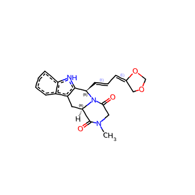 CN1CC(=O)N2[C@H](Cc3c([nH]c4ccccc34)[C@H]2/C=C/C=C2\COCO2)C1=O